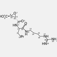 CC(C)CC(NC(=O)[C@H]1O[C@@H]1C(=O)O)C(=O)NCCCCNC(=N)N